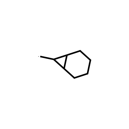 [CH2]C1C2CCCCC12